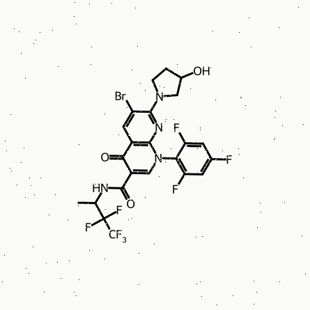 CC(NC(=O)c1cn(-c2c(F)cc(F)cc2F)c2nc(N3CCC(O)C3)c(Br)cc2c1=O)C(F)(F)C(F)(F)F